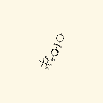 CC(O)(C(=O)Nc1ccc(S(=O)(=O)N2CCSCC2)cc1)C(F)(F)F